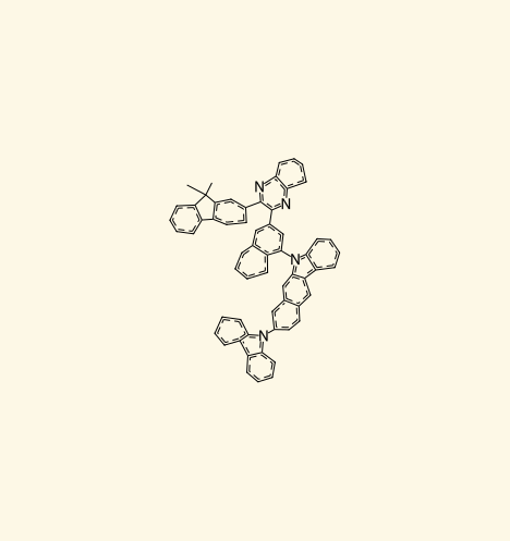 CC1(C)c2ccccc2-c2ccc(-c3nc4ccccc4nc3-c3cc(-n4c5ccccc5c5cc6ccc(-n7c8ccccc8c8ccccc87)cc6cc54)c4ccccc4c3)cc21